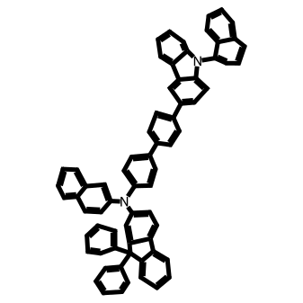 c1ccc(C2(c3ccccc3)c3ccccc3-c3ccc(N(c4ccc(-c5ccc(-c6ccc7c(c6)c6ccccc6n7-c6cccc7ccccc67)cc5)cc4)c4ccc5ccccc5c4)cc32)cc1